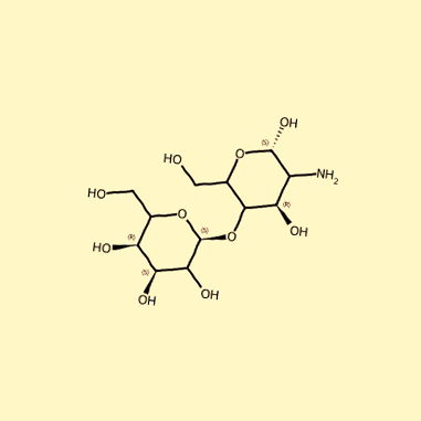 NC1[C@@H](O)C(O[C@@H]2OC(CO)[C@H](O)[C@H](O)C2O)C(CO)O[C@@H]1O